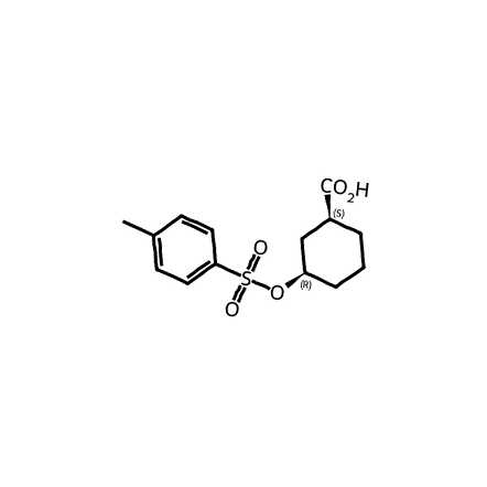 Cc1ccc(S(=O)(=O)O[C@@H]2CCC[C@H](C(=O)O)C2)cc1